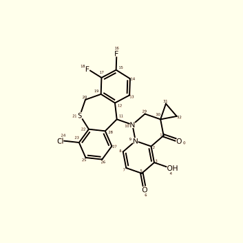 O=C1c2c(O)c(=O)ccn2N(C2c3ccc(F)c(F)c3CSc3c(Cl)cccc32)CC12CC2